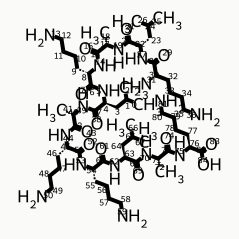 CC(C)C[C@H](NC(=O)[C@H](CCCCN)NC(=O)[C@H](C)NC(=O)[C@H](CC(C)C)NC(=O)[C@@H](N)CCCCN)C(=O)N[C@@H](C)C(=O)N[C@@H](CCCCN)C(=O)N[C@@H](CCCCN)C(=O)N[C@@H](CC(C)C)C(=O)N[C@@H](C)C(=O)N[C@@H](CCCCN)C(=O)O